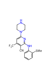 CSc1ccccc1Nc1nc(N2CCNCC2)cc(C(F)(F)F)c1C#N